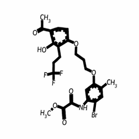 COC(=O)C(=O)Nc1cc(OCCCOc2ccc(C(C)=O)c(O)c2CCC(F)(F)F)c(C)cc1Br